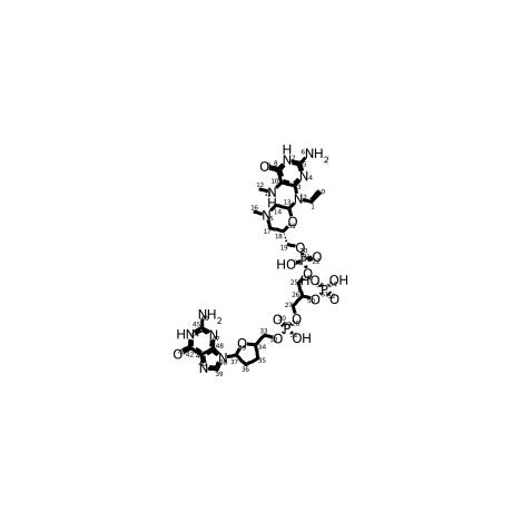 C=CN(c1nc(N)[nH]c(=O)c1NC)C1CN(C)C[C@@H](COP(=O)(O)OCC(COP(=O)(O)OCC2CCC(n3cnc4c(=O)[nH]c(N)nc43)O2)OP(=O)(O)O)O1